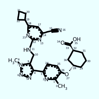 Cc1nc(-c2nnn(C)c2CNc2nc(C#N)cc(C3CCC3)n2)ccc1O[C@H]1CCC[C@H](C(=O)O)C1